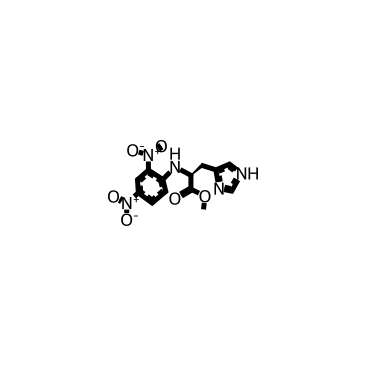 COC(=O)[C@H](Cc1c[nH]cn1)Nc1ccc([N+](=O)[O-])cc1[N+](=O)[O-]